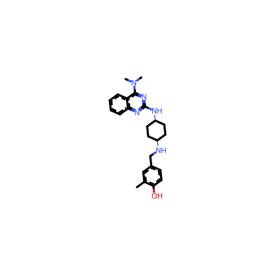 Cc1cc(CN[C@H]2CC[C@@H](Nc3nc(N(C)C)c4ccccc4n3)CC2)ccc1O